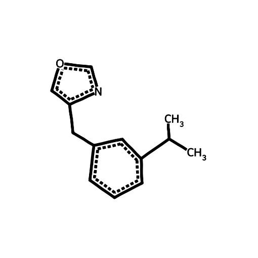 CC(C)c1cccc(Cc2cocn2)c1